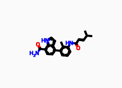 Cc1c(NC(=O)C=CC(C)C)cccc1-c1ccc(C(N)=O)c2[nH]ccc12